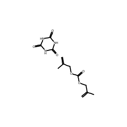 C=C(C)COC(=O)OCC(=C)C.O=c1[nH]c(=O)[nH]c(=O)[nH]1